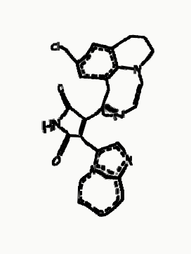 O=C1NC(=O)C(c2cnc3ccccn23)=C1C1=NC=CN2CCc3cc(Cl)cc1c32